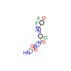 COc1ccc(-c2cn(-c3ccc(C(=O)N4CCN(S(=O)(=O)C5CCNCC5)CC4)c(Cl)c3)c(C)n2)c(F)c1F